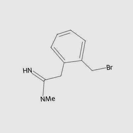 CNC(=N)Cc1ccccc1CBr